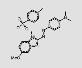 COc1ccc2c(c1)sc(/N=N/c1ccc(N(C)C)cc1)[n+]2C.Cc1ccc(S(=O)(=O)[O-])cc1